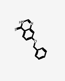 S=c1[nH]cnc2cc(OCc3ccccc3)ccc12